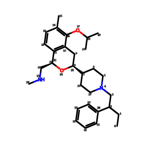 CCC(CN1CCC([C@@H]2Cc3c(ccc(C)c3OC(C)C)[C@H](CNC)O2)CC1)c1ccccc1